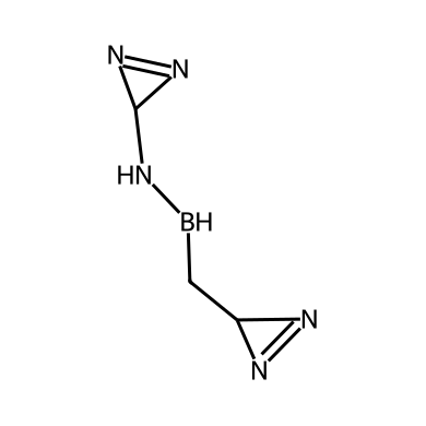 B(CC1N=N1)NC1N=N1